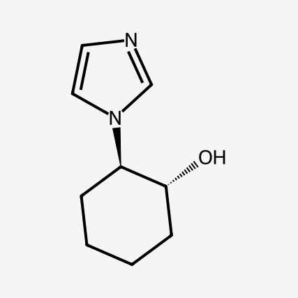 O[C@@H]1CCCC[C@H]1n1ccnc1